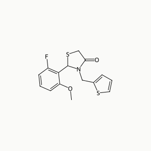 COc1cccc(F)c1C1SCC(=O)N1Cc1cccs1